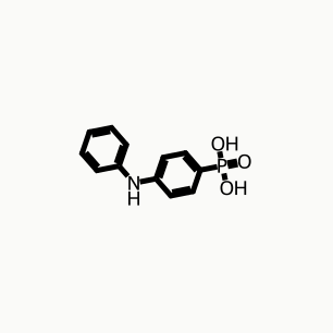 O=P(O)(O)c1ccc(Nc2ccccc2)cc1